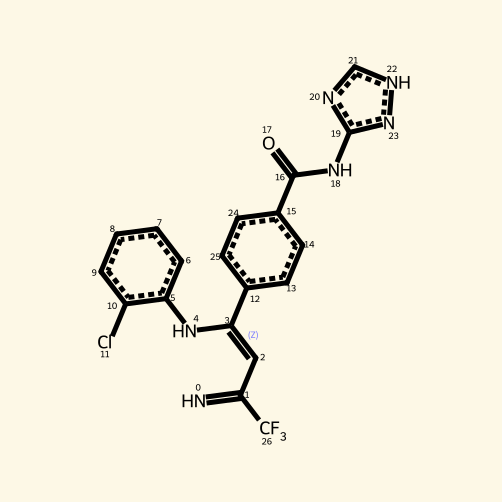 N=C(/C=C(\Nc1ccccc1Cl)c1ccc(C(=O)Nc2nc[nH]n2)cc1)C(F)(F)F